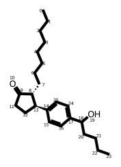 CCCCCCCC[C@H]1C(=O)CC[C@@H]1c1ccc(C(O)CCCC)cc1